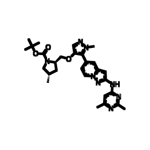 Cc1cc(Nc2cc3cc(-c4c(OC[C@H]5C[C@H](C)CN5C(=O)OC(C)(C)C)cnn4C)ccn3n2)nc(C)n1